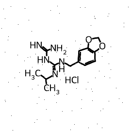 CC(C)N=C(NCc1ccc2c(c1)OCO2)NC(=N)N.Cl